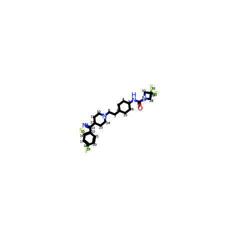 O=C(NC1CCC(CCN2CCC(c3nsc4cc(F)ccc34)CC2)CC1)N1CC(F)(F)C1